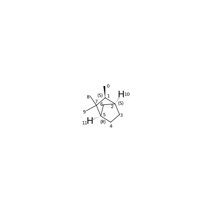 C[C@H]1[C@H]2CC[C@H](C2)C1(C)C